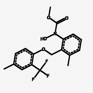 COC(=O)N(O)c1cccc(C)c1COc1ccc(C)cc1C(F)(F)F